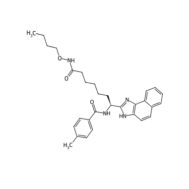 CCCCONC(=O)CCCCC[C@H](NC(=O)c1ccc(C)cc1)c1nc2c(ccc3ccccc32)[nH]1